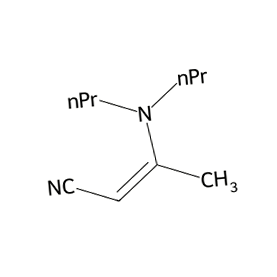 CCCN(CCC)/C(C)=C\C#N